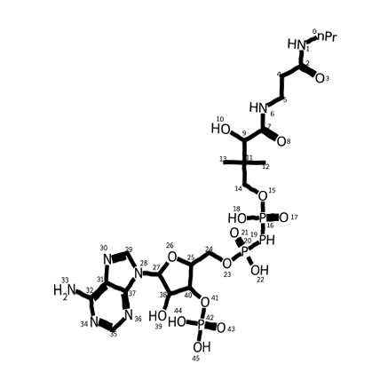 CCCNC(=O)CCNC(=O)C(O)C(C)(C)COP(=O)(O)PP(=O)(O)OCC1OC(n2cnc3c(N)ncnc32)C(O)C1OP(=O)(O)O